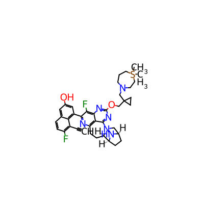 C#Cc1c(F)ccc2cc(O)cc(-c3nc4c5c(nc(OCC6(CN7CCCS(C)(C)CC7)CC6)nc5c3F)N3C[C@H]5CC[C@H](N5)[C@H]3CC4)c12